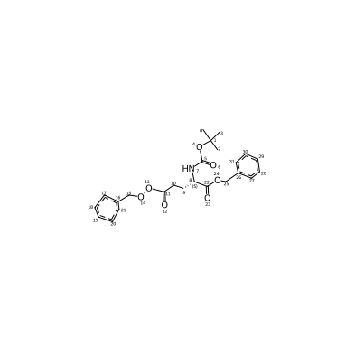 CC(C)(C)OC(=O)N[C@@H](CCC(=O)OOCc1ccccc1)C(=O)OCc1ccccc1